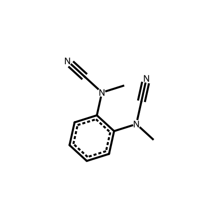 CN(C#N)c1ccccc1N(C)C#N